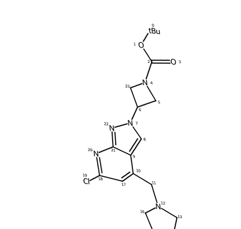 CC(C)(C)OC(=O)N1CC(n2cc3c(CN4CCCC4)cc(Cl)nc3n2)C1